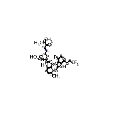 Cc1ccc(NC(=O)[C@H](CC/C=C/C(=O)N(C)C)NC(=O)O)c(=O)n1Cc1nc2c(F)cnc(CCC(F)(F)F)c2[nH]1